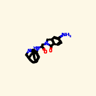 Nc1ccc2c(c1)CN(CC(=O)NC13CC4CC(CN(C4)C1)C3)C2=O